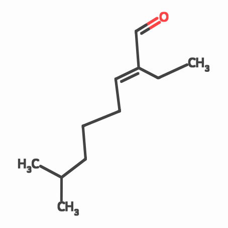 CC/C(C=O)=C\CCCC(C)C